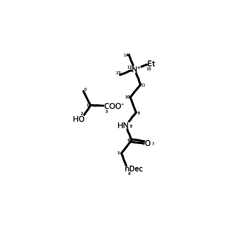 CC(O)C(=O)[O-].CCCCCCCCCCCC(=O)NCCC[N+](C)(C)CC